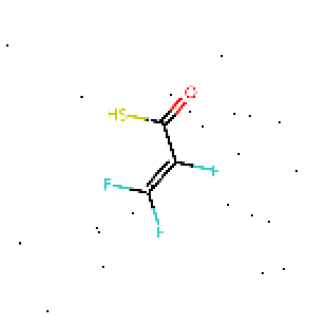 O=C(S)C(F)=C(F)F